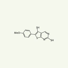 COc1ccc(-c2sc3nc(S)ncc3c2S)cc1